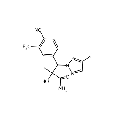 CC(O)(C(N)=O)C(c1ccc(C#N)c(C(F)(F)F)c1)n1cc(I)cn1